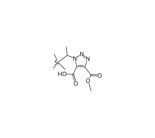 COC(=O)c1nnn(C(C)[Si](C)(C)C)c1C(=O)O